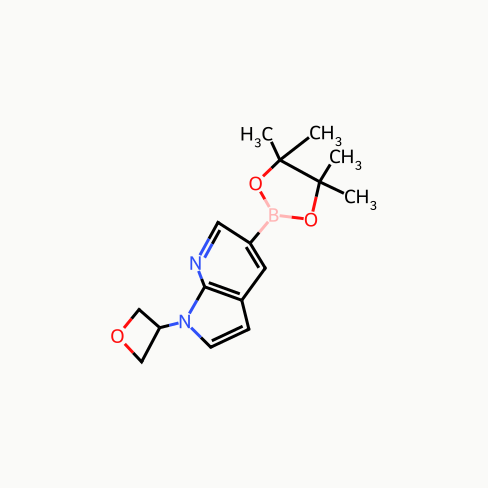 CC1(C)OB(c2cnc3c(ccn3C3COC3)c2)OC1(C)C